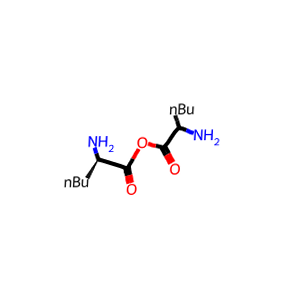 CCCCC(N)C(=O)OC(=O)[C@H](N)CCCC